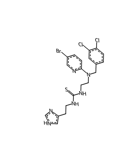 S=C(NCCc1c[nH]cn1)NCCN(Cc1ccc(Cl)c(Cl)c1)c1ccc(Br)cn1